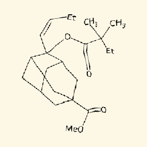 CC/C=C\C1(OC(=O)C(C)(C)CC)C2CC3CC1CC(C(=O)OC)(C3)C2